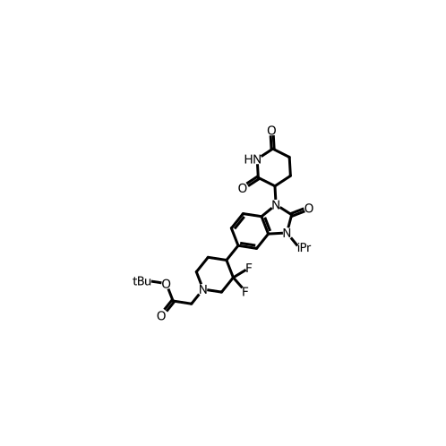 CC(C)n1c(=O)n(C2CCC(=O)NC2=O)c2ccc(C3CCN(CC(=O)OC(C)(C)C)CC3(F)F)cc21